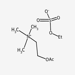 CC(=O)OCC[N+](C)(C)C.CCOS(=O)(=O)[O-]